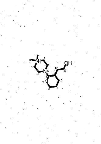 C[N+]1(C)CCN(C2[N]CCCC2CCO)CC1